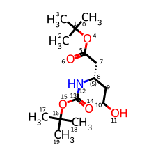 CC(C)(C)OC(=O)C[C@H](CCO)NC(=O)OC(C)(C)C